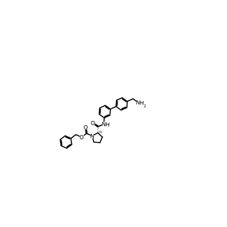 NCc1ccc(-c2cccc(NC(=O)[C@@H]3CCCN3C(=O)OCc3ccccc3)c2)cc1